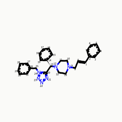 C(=C\c1ccccc1)/CN1CCN([C@@H](c2ccccc2)c2nnnn2Cc2ccccc2)CC1